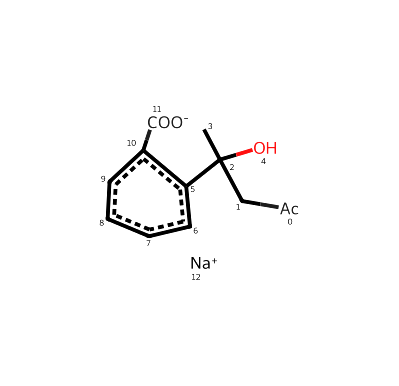 CC(=O)CC(C)(O)c1ccccc1C(=O)[O-].[Na+]